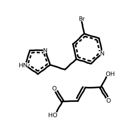 Brc1cncc(Cc2c[nH]cn2)c1.O=C(O)C=CC(=O)O